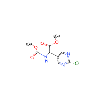 CC(C)(C)OC(=O)NC(C(=O)OC(C)(C)C)c1cnc(Cl)nc1